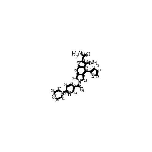 NC(=O)c1sc2nc3c(c(-c4cccs4)c2c1N)CN(C(=O)c1ccc(N2CCOCC2)nc1)C3